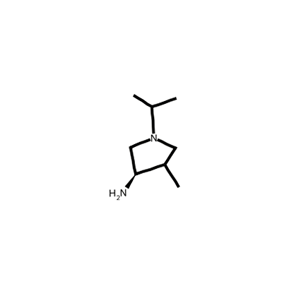 CC1CN(C(C)C)C[C@@H]1N